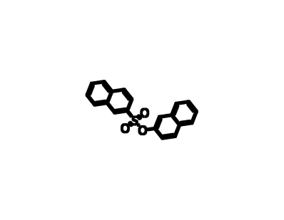 O=S(=O)(Oc1ccc2ccccc2c1)c1ccc2ccccc2c1